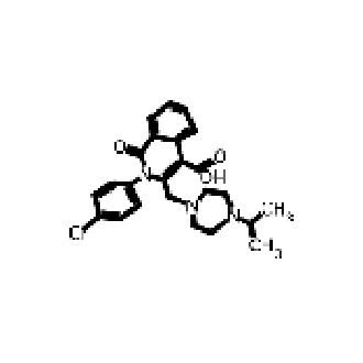 CC(C)N1CCN(Cc2c(C(=O)O)c3ccccc3c(=O)n2-c2ccc(Cl)cc2)CC1